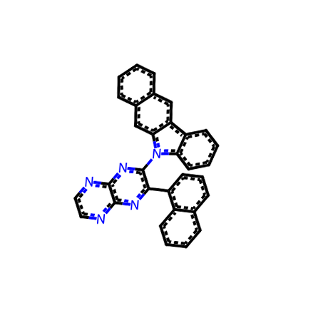 c1ccc2cc3c(cc2c1)c1ccccc1n3-c1nc2nccnc2nc1-c1cccc2ccccc12